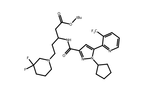 CC(C)(C)OC(=O)CC(CCN1CCCC(F)(F)C1)NC(=O)c1cc(-c2ncccc2C(F)(F)F)n(C2CCCC2)n1